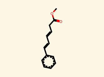 COC(=O)CC=CC=Cc1ccccc1